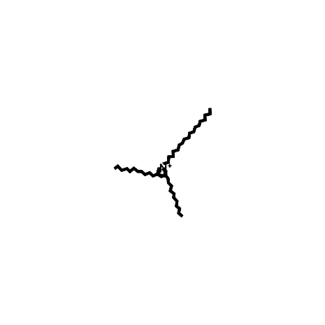 CCCCCCCCCCCCCCCCCCC[n+]1cc(CCCCCCCCCCC)cc(CCCCCCCCCCC)c1